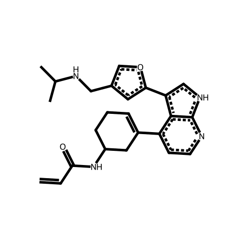 C=CC(=O)NC1CCC=C(c2ccnc3[nH]cc(-c4cc(CNC(C)C)co4)c23)C1